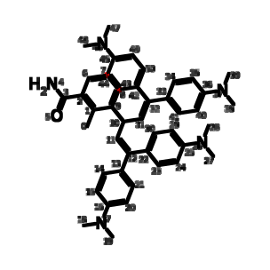 Cc1c(C(N)=O)cccc1C(C=C(c1ccc(N(C)C)cc1)c1ccc(N(C)C)cc1)C=C(c1ccc(N(C)C)cc1)c1ccc(N(C)C)cc1